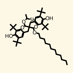 CCCCCCCCCCCCOC(=O)C(Cc1cc(C(C)(C)C)c(O)c(C(C)(C)C)c1)(Cc1cc(C(C)(C)C)c(O)c(C(C)(C)C)c1)C(=O)OC(C)S